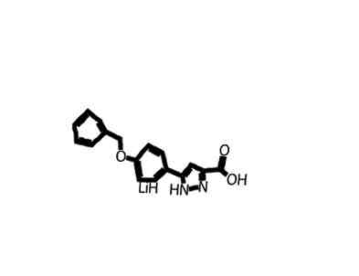 O=C(O)c1cc(-c2ccc(OCc3ccccc3)cc2)[nH]n1.[LiH]